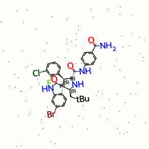 CC(C)(C)C[C@@H]1N[C@@H](C(=O)Nc2ccc(C(N)=O)cc2)[C@H](c2cccc(Cl)c2F)[C@]12C(=O)Nc1cc(Br)ccc12